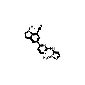 CN1CCc2cc(-c3ccnc(Nc4ccnn4C)n3)cc(C#N)c21